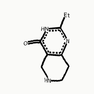 CCc1nc2c(c(=O)[nH]1)CNCC2